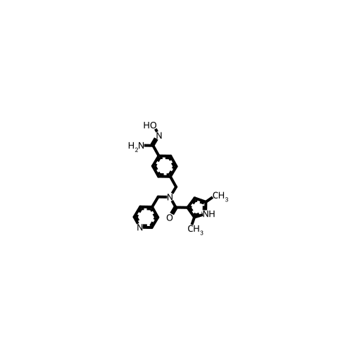 Cc1cc(C(=O)N(Cc2ccncc2)Cc2ccc(C(N)=NO)cc2)c(C)[nH]1